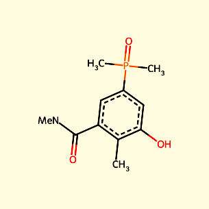 CNC(=O)c1cc(P(C)(C)=O)cc(O)c1C